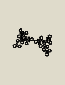 c1ccc([Si](c2ccccc2)(c2cccc(-n3c4ccccc4c4ccccc43)c2)c2cc(-n3c4ccccc4n4c5ccccc5nc34)nc(-n3c4ccccc4n4c5cc(-c6ccc7nc8n(-c9nc(-n%10c%11ccccc%11n%11c%12ccccc%12nc%10%11)nc([Si](c%10ccccc%10)(c%10ccccc%10)c%10cccc(-n%11c%12ccccc%12c%12ccccc%12%11)c%10)n9)c9ccccc9n8c7c6)ccc5nc34)c2)cc1